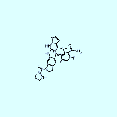 COc1cc2c(cc1Nc1nc(Nc3cc(F)cc(F)c3C(N)=O)c3ccnc-3[nH]1)N(C(=O)[C@@H]1CCCN1C)CC2